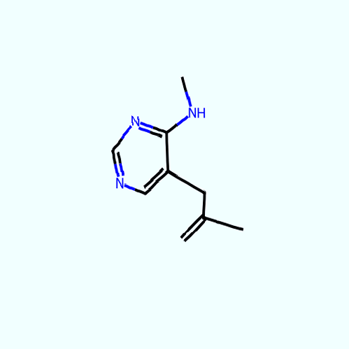 C=C(C)Cc1cncnc1NC